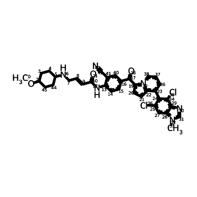 COC1CCC(NCC=CC(=O)Nc2ccc(C(=O)c3ccc4c(-c5c(Cl)cc6c(ncn6C)c5Cl)cccn34)cc2C#N)CC1